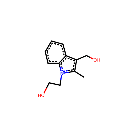 Cc1c(CO)c2c[c]ccc2n1CCO